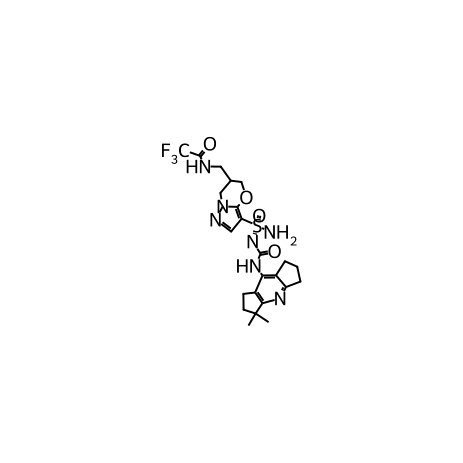 CC1(C)CCc2c1nc1c(c2NC(=O)N=S(N)(=O)c2cnn3c2OCC(CNC(=O)C(F)(F)F)C3)CCC1